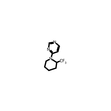 FC(F)(F)C1CCCCN1c1ccn[c]n1